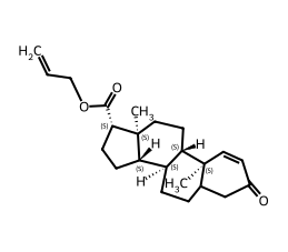 C=CCOC(=O)[C@H]1CC[C@H]2[C@@H]3CCC4CC(=O)C=C[C@]4(C)[C@H]3CC[C@]12C